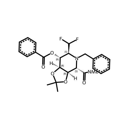 CNC(=O)[C@@H]1[C@H]2OC(C)(C)O[C@H]2[C@H](OC(=O)c2ccccc2)[C@@H](C(F)F)N1Cc1ccccc1